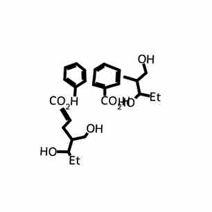 C=CCC(CO)C(O)CC.CCC(O)C(C)CO.O=C(O)c1ccccc1.O=C(O)c1ccccc1